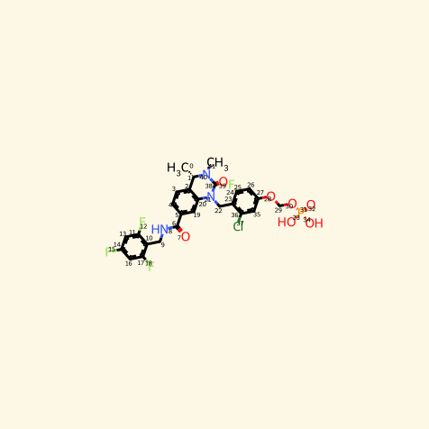 C[C@H]1c2ccc(C(=O)NCc3c(F)cc(F)cc3F)cc2N(Cc2c(F)cc(OCOP(=O)(O)O)cc2Cl)C(=O)N1C